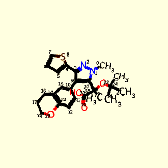 Cn1nc(-c2cccs2)c(-c2ccc3c(c2)CCCO3)c1C(C)(OC(C)(C)C)C(=O)O